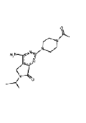 CC(=O)N1CCN(c2nc(N)c3c(n2)C(=O)N(C(C)C)C3)CC1